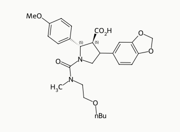 CCCCOCCN(C)C(=O)N1CC(c2ccc3c(c2)OCO3)[C@H](C(=O)O)[C@H]1c1ccc(OC)cc1